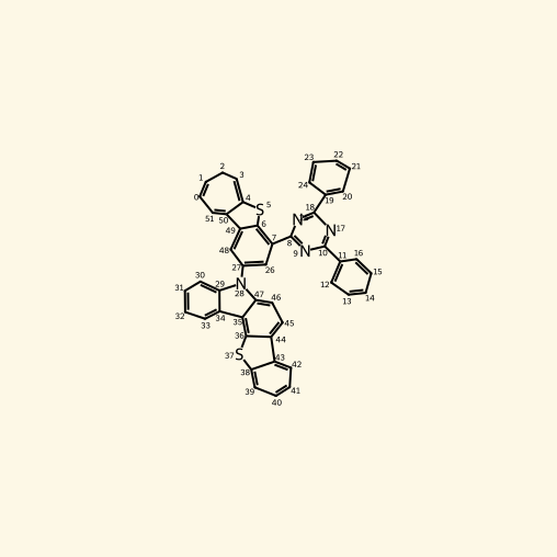 C1=CCC=c2sc3c(-c4nc(-c5ccccc5)nc(-c5ccccc5)n4)cc(-n4c5ccccc5c5c6sc7ccccc7c6ccc54)cc3c2=C1